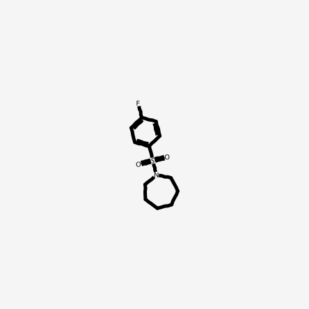 O=S(=O)(c1ccc(F)cc1)N1CCCCCC1